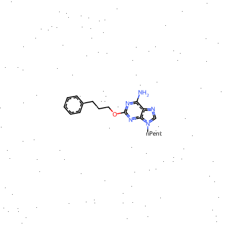 CCCCCn1cnc2c(N)nc(OCCCc3ccccc3)nc21